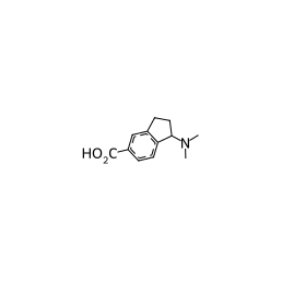 CN(C)C1CCc2cc(C(=O)O)ccc21